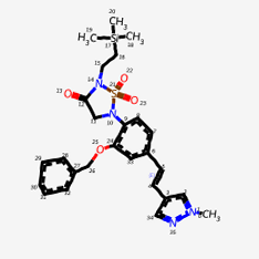 Cn1cc(/C=C/c2ccc(N3CC(=O)N(CC[Si](C)(C)C)S3(=O)=O)c(OCc3ccccc3)c2)cn1